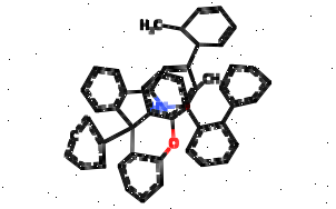 CC1=C(c2ccccc2-c2ccccc2)NC(c2ccccc2C2(c3ccccc3)c3ccccc3Oc3ccccc32)C=C1C1C=CC=CC1C